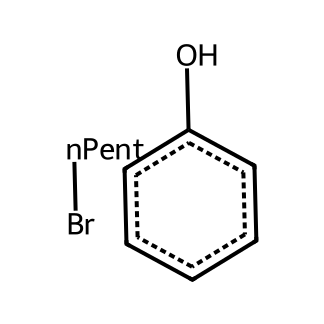 CCCCCBr.Oc1ccccc1